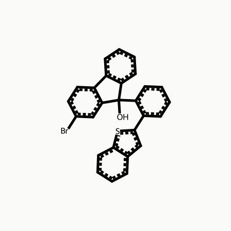 OC1(c2ccccc2-c2cc3ccccc3s2)c2ccccc2-c2ccc(Br)cc21